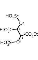 CCOC(=O)C(OS(=O)(=O)O)C(OS(=O)(=O)O)C(=O)OCC